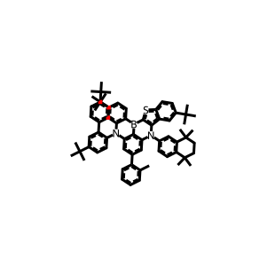 Cc1ccccc1-c1cc2c3c(c1)N(c1ccc4c(c1)C(C)(C)CCC4(C)C)c1c(sc4ccc(C(C)(C)C)cc14)B3c1ccc(C(C)(C)C)cc1N2c1ccc(C(C)(C)C)cc1-c1ccc(C(C)(C)C)cc1